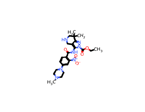 CCOC(=O)n1nc2c(c1NC(=O)c1ccc(N3CCN(C)CC3)cc1[N+](=O)[O-])CNCC2(C)C